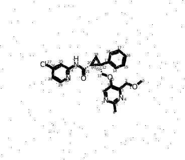 COCc1nc(C)ncc1OC[C@@]1(c2ccccc2)C[C@H]1C(=O)Nc1cc(Cl)ccn1